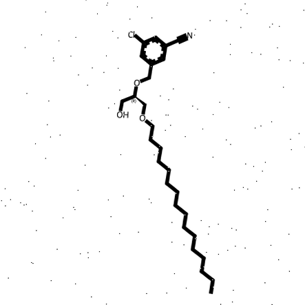 CCCCCCCCCCCCCCCCOC[C@@H](CO)OCc1cc(Cl)cc(C#N)c1